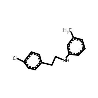 Cc1cccc(NCCc2ccc(Cl)cc2)c1